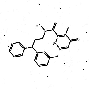 C=C(c1[nH]ncc(=O)c1C)N(CCC)CCC(c1ccccc1)c1cccc(F)c1